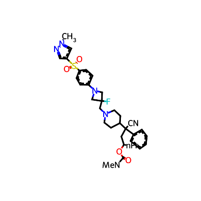 CCC[C@H](CC(C#N)(c1ccccc1)C1CCN(CC2(F)CN(c3ccc(S(=O)(=O)c4cnn(C)c4)cc3)C2)CC1)OC(=O)NC